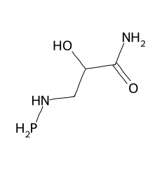 NC(=O)C(O)CNP